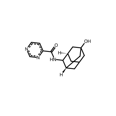 O=C(NC1[C@@H]2CC3C[C@H]1CC(O)(C3)C2)c1ccncn1